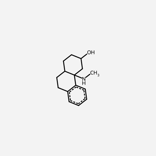 CNC12CC(O)CCC1CCc1ccccc12